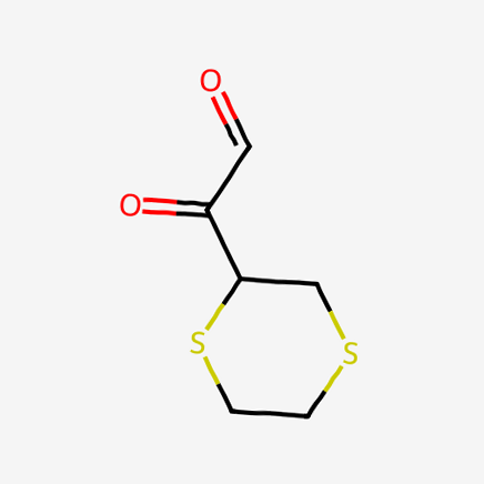 O=CC(=O)C1CSCCS1